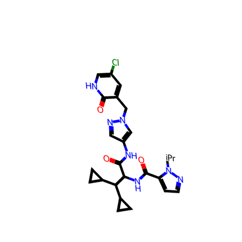 CC(C)n1nccc1C(=O)NC(C(=O)Nc1cnn(Cc2cc(Cl)c[nH]c2=O)c1)C(C1CC1)C1CC1